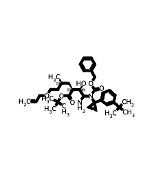 C=CCOCC[C@@H](C)C[C@H](C(=O)OC(C)(C)C)[C@@H](O)C(N)N(C(=O)OCc1ccccc1)C1(c2cccc(C(C)(C)C)c2)CC1